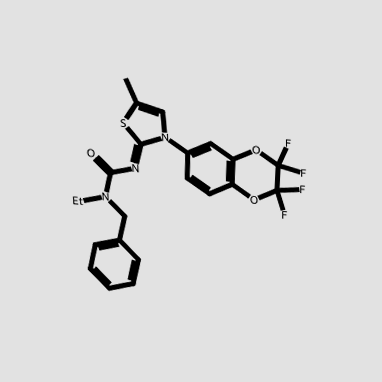 CCN(Cc1ccccc1)C(=O)N=c1sc(C)cn1-c1ccc2c(c1)OC(F)(F)C(F)(F)O2